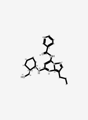 CCCc1cnn2c(NC(=O)c3cccnc3)cc(N[C@@H]3CCCC[C@@H]3CO)nc12